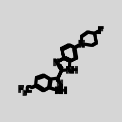 FC1CCN(c2ccc3nc(-c4n[nH]c5cc(C(F)(F)F)ccc45)[nH]c3c2)CC1